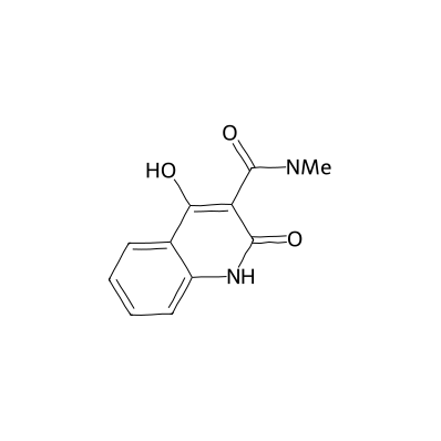 CNC(=O)c1c(O)c2ccccc2[nH]c1=O